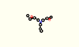 c1ccc(-c2cccc3c2oc2ccc(-c4ccc(N(c5ccc(-c6ccc7ccccc7c6)cc5)c5ccc(-c6ccc7c(c6)oc6ccccc67)cc5)cc4)cc23)cc1